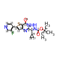 CC(C)(C)OC(=O)N[C@H](c1nc2cc(-c3ccncc3F)sc2c(=O)[nH]1)C1CC1